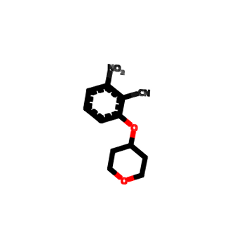 N#Cc1c(OC2CCOCC2)cccc1[N+](=O)[O-]